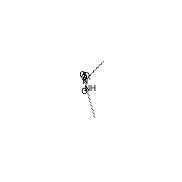 CCCCCCCCCCCCCCCC(=O)NCCC[N+](C)(C)C(CCCCCCCCCCCCC)OS(C)(=O)=O